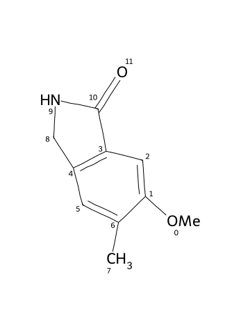 COc1cc2c(cc1C)CNC2=O